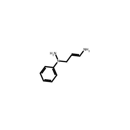 NC=CCN(N)c1ccccc1